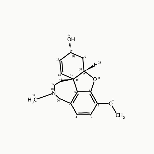 [CH2]Oc1ccc2c3c1O[C@H]1C[C@@H](O)C=C[C@@]31CCN(C)C2